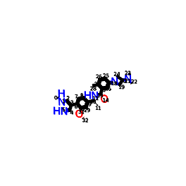 CN/C=C(\C=N)c1ccc([C@@H](C)NC(=O)c2cc(N3CC(N(C)C)C3)ccc2C)cc1OC